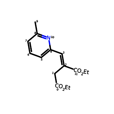 CCOC(=O)C/C(=C\c1cccc(C)n1)C(=O)OCC